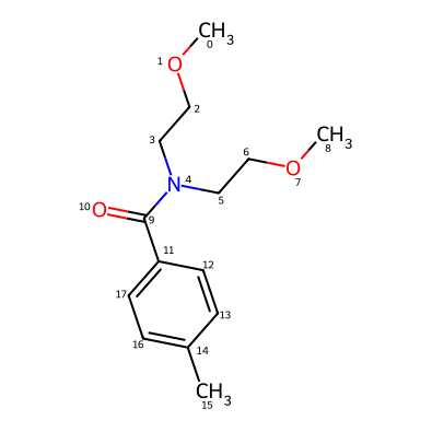 COCCN(CCOC)C(=O)c1ccc(C)cc1